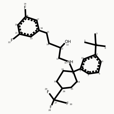 CC(C)(C)c1cccc(C2(NCC(O)CCc3cc(F)cc(F)c3)CCC(C(F)(F)F)CC2)c1